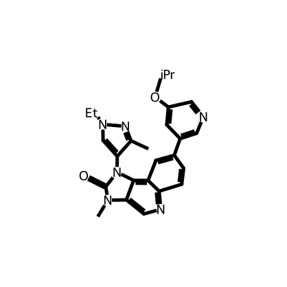 CCn1cc(-n2c(=O)n(C)c3cnc4ccc(-c5cncc(OC(C)C)c5)cc4c32)c(C)n1